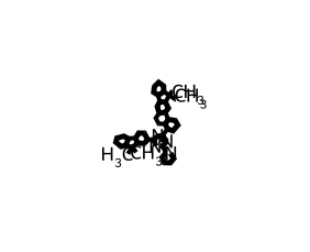 CCC1(CC)c2ccccc2-c2cc3c(cc21)-c1cccc(-c2nc(-c4ccc5c(c4)C(C)(C)c4ccccc4-5)nc(-c4ccccn4)n2)c1CC3